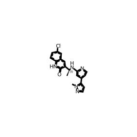 C[C@H](Nc1cc(-c2ccnn2C)ccn1)c1cc2cc(Cl)ccc2[nH]c1=O